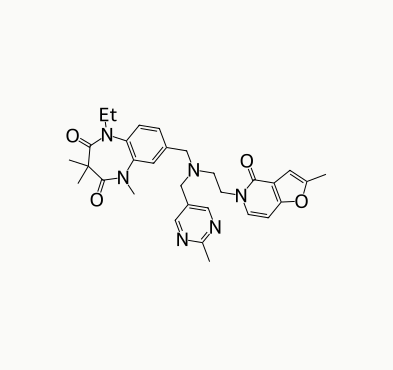 CCN1C(=O)C(C)(C)C(=O)N(C)c2cc(CN(CCn3ccc4oc(C)cc4c3=O)Cc3cnc(C)nc3)ccc21